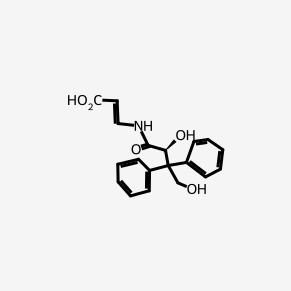 O=C(O)/C=C/NC(=O)[C@@H](O)C(CO)(c1ccccc1)c1ccccc1